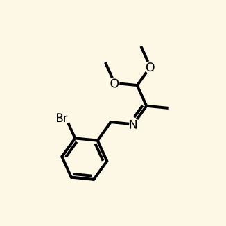 COC(OC)C(C)=NCc1ccccc1Br